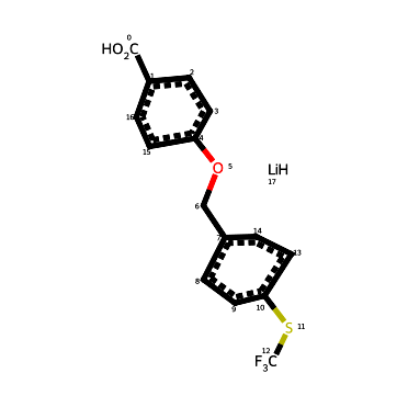 O=C(O)c1ccc(OCc2ccc(SC(F)(F)F)cc2)cc1.[LiH]